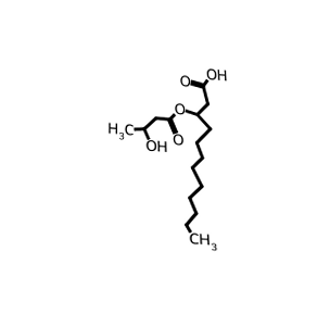 CCCCCCCCCC(CC(=O)O)OC(=O)CC(C)O